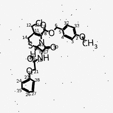 COc1ccc(COC(=O)C2=C(CCl)CS[C@H]3[C@H](NC(=O)COc4ccccc4)C(=O)N23)cc1